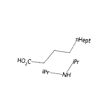 CC(C)NC(C)C.CCCCCCCCCCC(=O)O